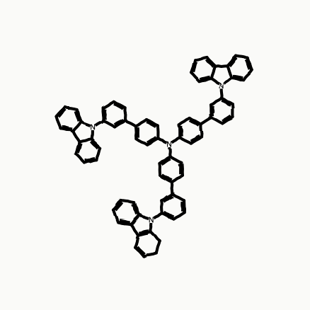 C1=Cc2c(n(-c3cccc(-c4ccc(N(c5ccc(-c6cccc(-n7c8ccccc8c8ccccc87)c6)cc5)c5ccc(-c6cccc(-n7c8ccccc8c8ccccc87)c6)cc5)cc4)c3)c3ccccc23)CC1